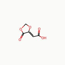 O=C(O)/C=C1\OCOC1=O